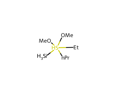 CCC[SH]([SiH3])(CC)(OC)OC